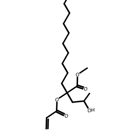 C=CC(=O)OC(CCCCCCCCCC)(CC(C)O)C(=O)OC